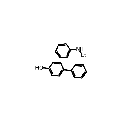 CCNc1ccccc1.Oc1ccc(-c2ccccc2)cc1